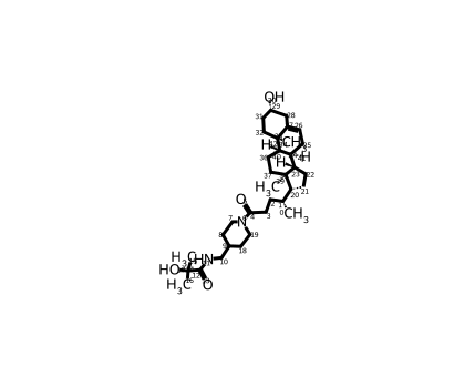 C[C@H](CCC(=O)N1CCC(CNC(=O)C(C)(C)O)CC1)[C@H]1CC[C@H]2[C@@H]3CC=C4C[C@@H](O)CC[C@]4(C)[C@H]3CC[C@]12C